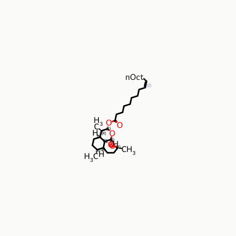 CCCCCCCC/C=C\CCCCCCCC(=O)O[C@@H]1O[C@@H]2O[C@@]3(C)CC[C@H]4[C@H](C)CC[C@@H]([C@H]1C)[C@@]24OO3